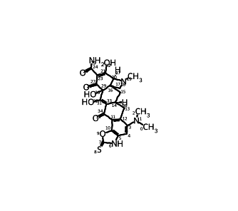 CN(C)c1cc2[nH]c(=S)oc2c2c1C[C@H]1CC34CN(C)[C@@H]3C(O)=C(C(N)=O)C(=O)C4(O)C(O)=C1C2=O